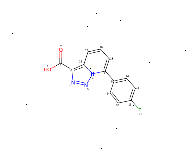 O=C(O)c1nnn2c(-c3ccc(F)cc3)cccc12